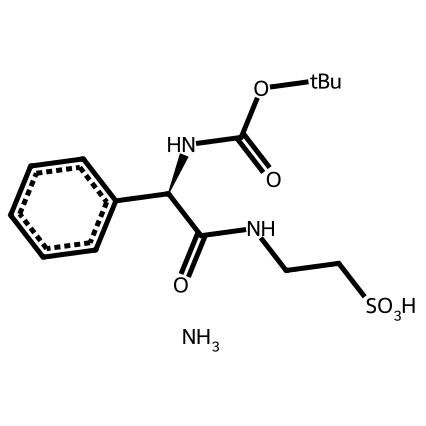 CC(C)(C)OC(=O)N[C@@H](C(=O)NCCS(=O)(=O)O)c1ccccc1.N